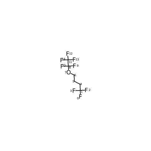 FC(F)(F)CCCOC(F)(F)C(F)(F)F